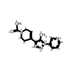 Cc1c(C2=CCN(C(=O)O)CC2)nnn1-c1cccnc1